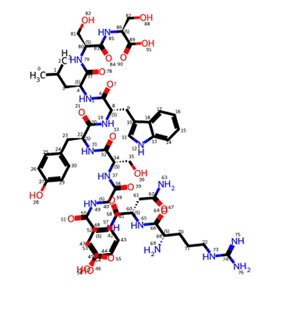 CC(C)C[C@H](NC(=O)[C@H](Cc1c[nH]c2ccccc12)NC(=O)[C@H](Cc1ccc(O)cc1)NC(=O)[C@H](CO)NC(=O)[C@H](Cc1ccc(O)cc1)NC(=O)[C@H](CC(=O)O)NC(=O)[C@H](CC(N)=O)NC(=O)[C@@H](N)CCCNC(=N)N)C(=O)N[C@@H](CO)C(=O)N[C@@H](CO)C(=O)O